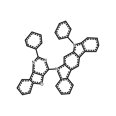 c1ccc(-c2nc(-n3c4ccccc4c4cc5c6ccccc6n(-c6ccccc6)c5cc43)c3oc4ccccc4c3n2)cc1